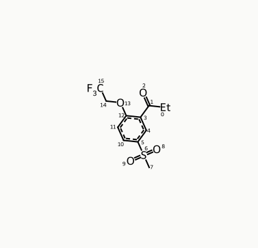 CCC(=O)c1cc(S(C)(=O)=O)ccc1OCC(F)(F)F